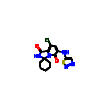 O=C1NC2(CCCCC2)n2c1c(Cl)cc(Nc1cnns1)c2=O